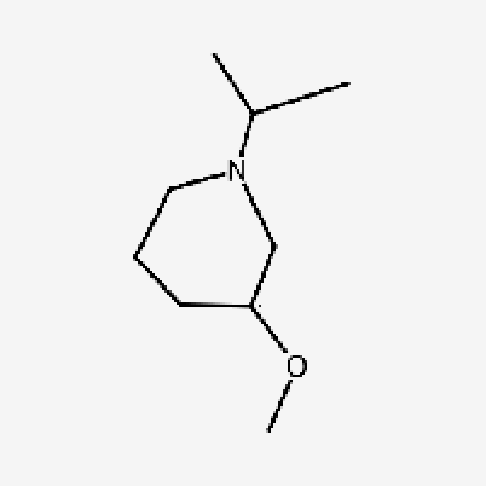 CO[C]1CCCN(C(C)C)C1